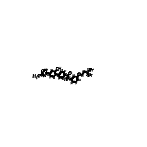 Cc1nc(-c2ccc(-c3ccc(C(=O)Nc4cccc(OCCN(C(C)C)C(C)C)c4)cc3)c(C)c2)no1